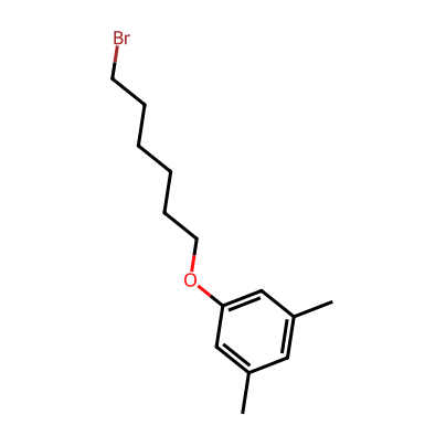 Cc1cc(C)cc(OCCCCCCBr)c1